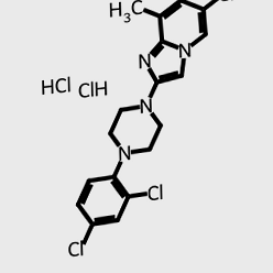 Cc1cc(Cl)cn2cc(N3CCN(c4ccc(Cl)cc4Cl)CC3)nc12.Cl.Cl